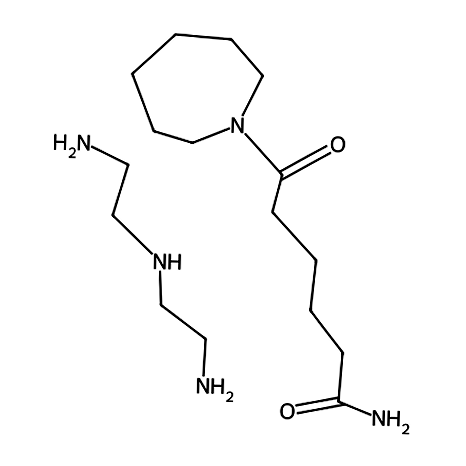 NC(=O)CCCCC(=O)N1CCCCCC1.NCCNCCN